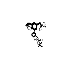 COC(=O)Cc1cc(-c2cccc(CNC(=O)OC(C)(C)C)c2)c2occc2c1